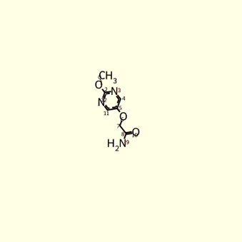 COc1ncc(OCC(N)=O)cn1